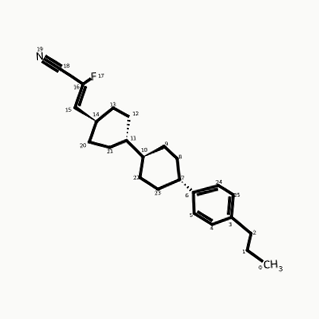 CCCc1ccc([C@H]2CC[C@H]([C@H]3CC[C@H](C=C(F)C#N)CC3)CC2)cc1